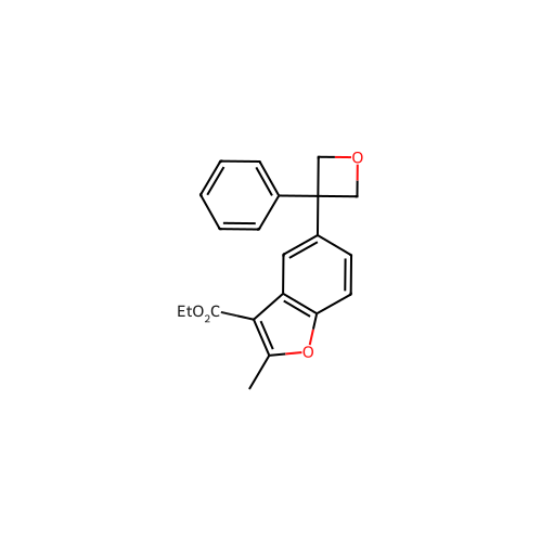 CCOC(=O)c1c(C)oc2ccc(C3(c4ccccc4)COC3)cc12